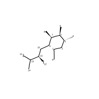 CCC[C@@H](C)[C@H](C)[C@H](C)CC[C@@H](I)C(C)I